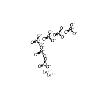 O=[N+]([O-])[O-].O=[N+]([O-])[O-].O=[N+]([O-])[O-].O=[N+]([O-])[O-].O=[N+]([O-])[O-].O=[N+]([O-])[O-].[La+3].[La+3]